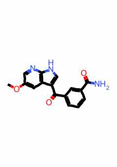 COc1cnc2[nH]cc(C(=O)c3cccc(C(N)=O)c3)c2c1